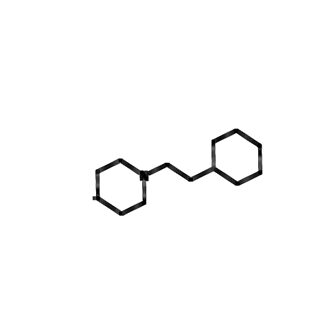 [CH]1CCN(CCC2CCCCC2)CC1